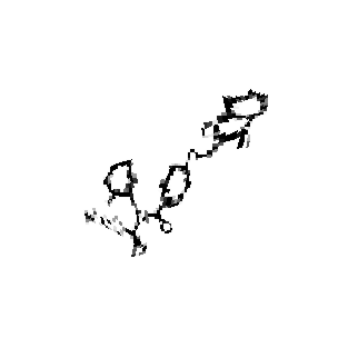 COC(=O)N(C(=O)c1ccc(OCc2nc3ccccc3o2)cc1)c1ccccc1C